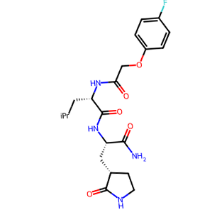 CC(C)C[C@H](NC(=O)COc1ccc(F)cc1)C(=O)N[C@@H](C[C@@H]1CCNC1=O)C(N)=O